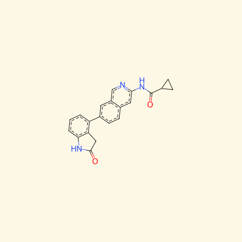 O=C1Cc2c(cccc2-c2ccc3cc(NC(=O)C4CC4)ncc3c2)N1